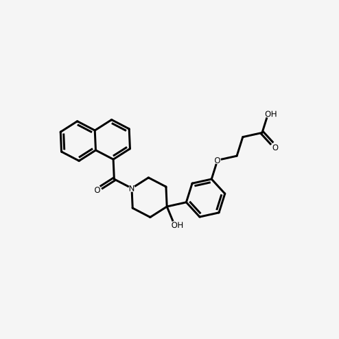 O=C(O)CCOc1cccc(C2(O)CCN(C(=O)c3cccc4ccccc34)CC2)c1